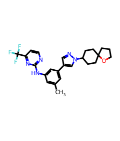 Cc1cc(Nc2nccc(C(F)(F)F)n2)cc(-c2cnn(C3CCC4(CCCO4)CC3)c2)c1